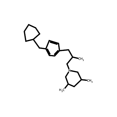 CC(Cc1ccc(CC2CCCCC2)cc1)CN1CC(C)CC(C)C1